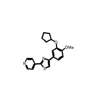 COc1ccc(-c2csc(-c3ccncc3)n2)cc1OC1CCCC1